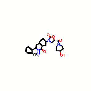 O=C([C@@H]1CN(c2ccc3cc(-c4ccccc4C(F)(F)F)[nH]c(=O)c3c2)C(=O)O1)N1CCC(O)CC1